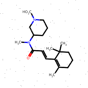 CC1=C(C=CC(=O)N(C)C2CCCN(C(=O)O)C2)C(C)(C)CCC1